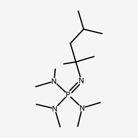 CC(C)CC(C)(C)N=P(N(C)C)(N(C)C)N(C)C